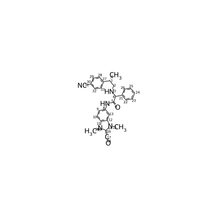 C[C@H](CNC(C(=O)Nc1ccc2c(c1)N(C)C(=C=O)N2C)c1ccccc1)c1ccc(C#N)cc1